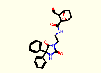 O=CC1C2CCC(O2)C1C(=O)NCCN1C(=O)NC(c2ccccc2)(c2ccccc2)C1=O